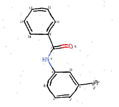 CC(C)c1cccc(NC(=O)c2ccccc2)c1